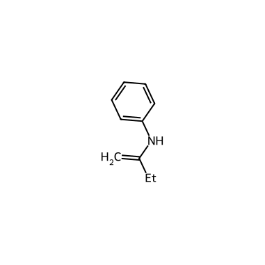 C=C(CC)Nc1ccccc1